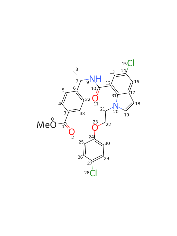 COC(=O)c1ccc([C@H](C)NC(=O)c2cc(Cl)cc3ccn(CCOc4ccc(Cl)cc4)c23)cc1